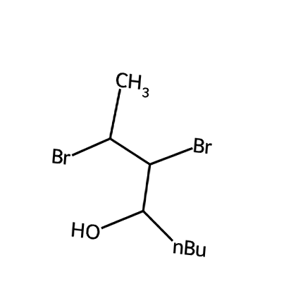 CCCCC(O)C(Br)C(C)Br